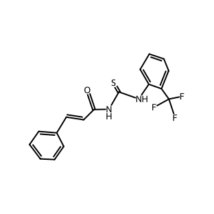 O=C(/C=C/c1ccccc1)NC(=S)Nc1ccccc1C(F)(F)F